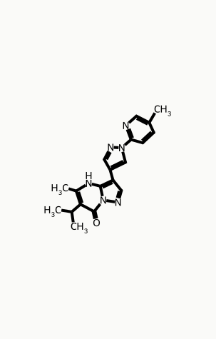 Cc1ccc(-n2cc(-c3cnn4c(=O)c(C(C)C)c(C)[nH]c34)cn2)nc1